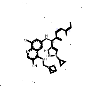 C=C(/C=C\C(F)=C/C)[C@H](Nc1cc(Cl)c2ncc(C#N)c(NCC34CC(C3)C4)c2c1)C1=CN(C2CC2)NN1